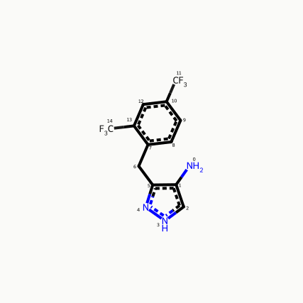 Nc1c[nH]nc1Cc1ccc(C(F)(F)F)cc1C(F)(F)F